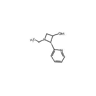 CCN1CC(O)C1c1ccccn1